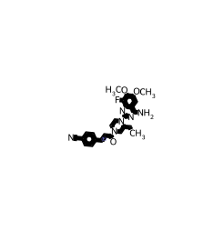 CCC1CN(C(=O)/C=C/c2ccc(C#N)cc2)CCN1c1nc(N)c2cc(OC)c(OC)c(F)c2n1